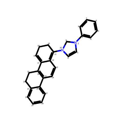 C1=CN(c2ccccc2)CN1C1=c2ccc3c(c2=CCC1)CCc1ccccc1-3